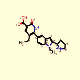 CCc1cc(C(=O)O)c(=O)[nH]c1-c1ccc2c(c1)cc(C1CCCN1)n2C